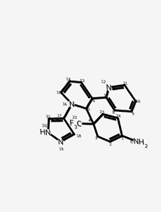 NC1=CCC(C2C(c3ccccn3)=CC=CN2c2cn[nH]c2)(C(F)(F)F)C=C1